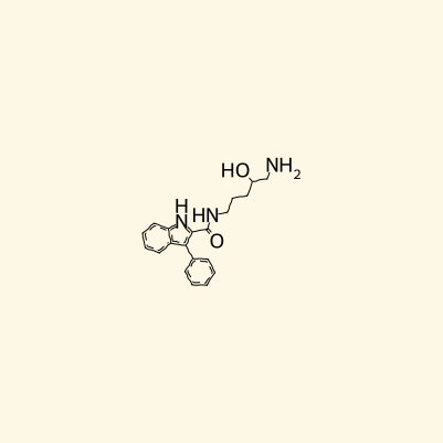 NCC(O)CCCNC(=O)c1[nH]c2ccccc2c1-c1ccccc1